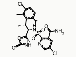 Cc1c(Cl)ccc(F)c1[C@@H](C)[C@H](NS(=O)(=O)c1ncc(Cl)cc1C(N)=O)c1n[nH]c(=O)o1